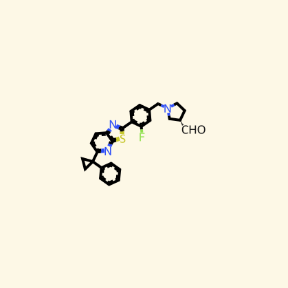 O=C[C@H]1CCN(Cc2ccc(-c3nc4ccc(C5(c6ccccc6)CC5)nc4s3)c(F)c2)C1